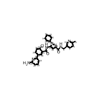 Cc1ccc(CNC(=O)c2cc(NC(=O)c3cc(-c4cccc(N)n4)ccc3Cl)n(-c3ccccc3)n2)cn1